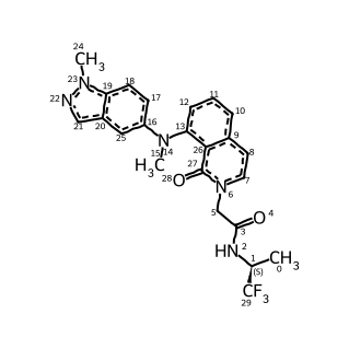 C[C@H](NC(=O)Cn1ccc2cccc(N(C)c3ccc4c(cnn4C)c3)c2c1=O)C(F)(F)F